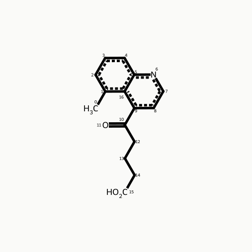 Cc1cccc2nccc(C(=O)CCCC(=O)O)c12